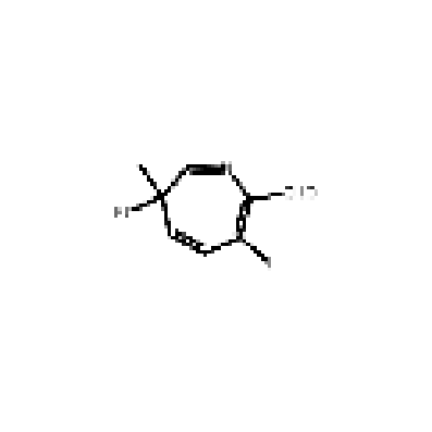 CCC1(C)C=CC(I)=C(C=O)N=C1